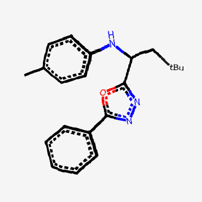 Cc1ccc(NC(CC(C)(C)C)c2nnc(-c3ccccc3)o2)cc1